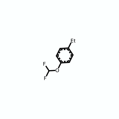 CCc1ccc(OC(F)F)cc1